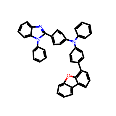 c1ccc(N(c2ccc(-c3cccc4c3oc3ccccc34)cc2)c2ccc(-c3nc4ccccc4n3-c3ccccc3)cc2)cc1